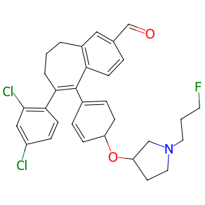 O=Cc1ccc2c(c1)CCCC(c1ccc(Cl)cc1Cl)=C2C1=CCC(OC2CCN(CCCF)C2)C=C1